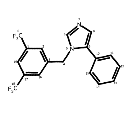 FC(F)(F)c1cc(Cn2cncc2-c2ccccc2)cc(C(F)(F)F)c1